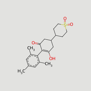 Cc1cc(C)c(C2=C(O)CC(C3CCS(=O)(=O)CC3)CC2=O)c(C)c1